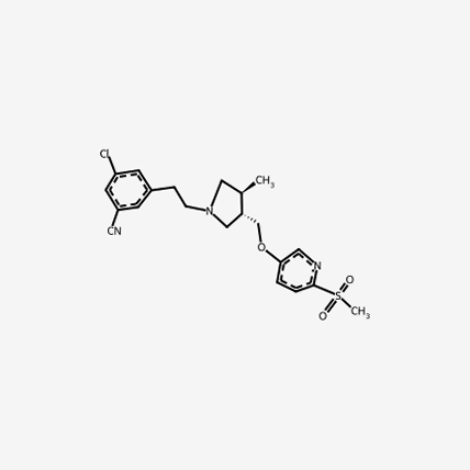 C[C@@H]1CN(CCc2cc(Cl)cc(C#N)c2)C[C@H]1COc1ccc(S(C)(=O)=O)nc1